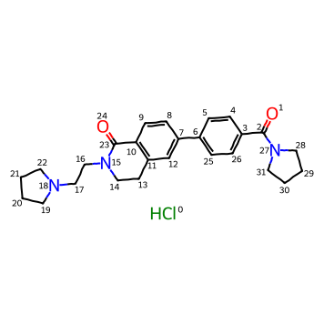 Cl.O=C(c1ccc(-c2ccc3c(c2)CCN(CCN2CCCC2)C3=O)cc1)N1CCCC1